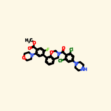 COC(=O)c1cc(F)c(-c2cccc3c2OCN(C(=O)c2c(Cl)cc(N4CCNCC4)cc2Cl)C3)cc1N1CCOCC1